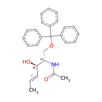 C/C=C/[C@@H](O)[C@H](COC(c1ccccc1)(c1ccccc1)c1ccccc1)NC(C)=O